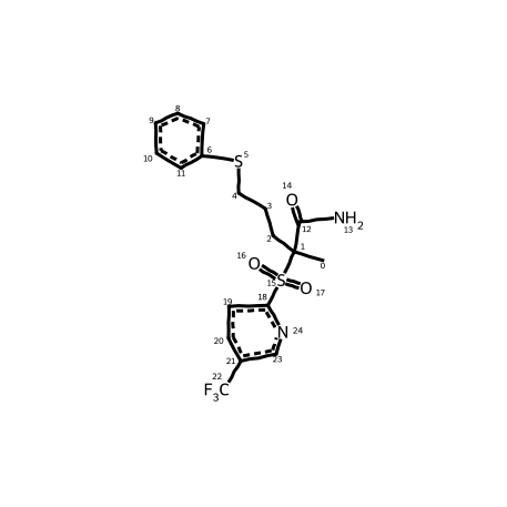 CC(CCCSc1ccccc1)(C(N)=O)S(=O)(=O)c1ccc(C(F)(F)F)cn1